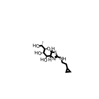 C[C@@H](O)[C@H]1O[C@@H]2SC(NCCC3CC3)=N[C@@H]2[C@@H](O)[C@@H]1O